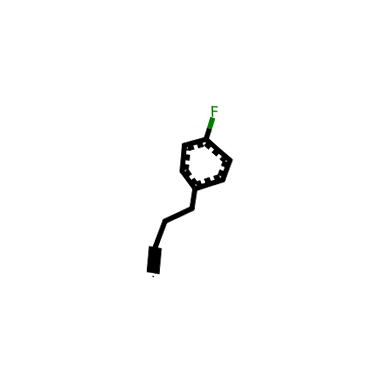 [C]#CCCc1ccc(F)cc1